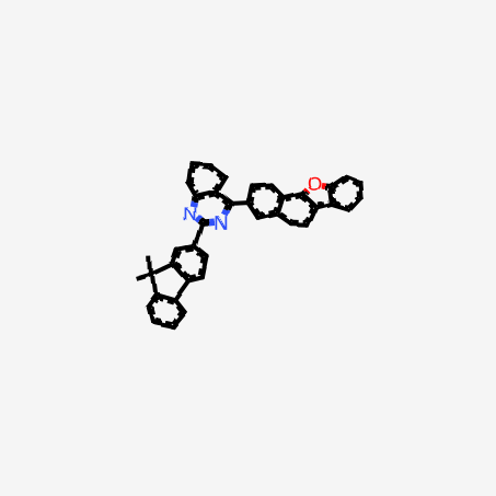 CC1(C)c2ccccc2-c2ccc(-c3nc(-c4ccc5c(ccc6c7ccccc7oc56)c4)c4ccccc4n3)cc21